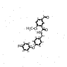 COc1ccc(C=O)cc1C(=O)NCc1ccc(Oc2ccc(F)cc2)cc1